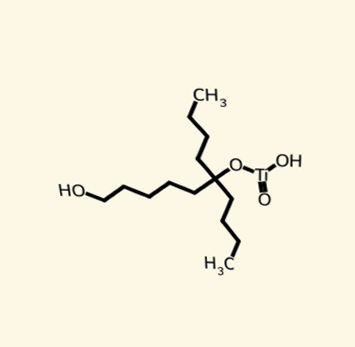 CCCCC(CCCC)(CCCCCO)[O][Ti](=[O])[OH]